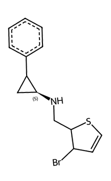 BrC1C=CSC1CN[C@H]1CC1c1ccccc1